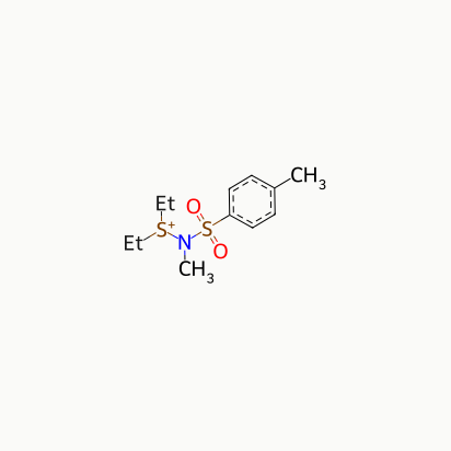 CC[S+](CC)N(C)S(=O)(=O)c1ccc(C)cc1